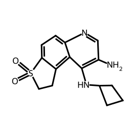 Nc1cnc2ccc3c(c2c1NC1CCC1)CCS3(=O)=O